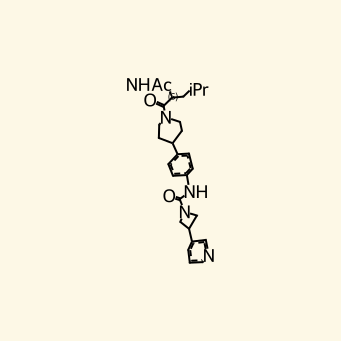 CC(=O)N[C@@H](CC(C)C)C(=O)N1CCC(c2ccc(NC(=O)N3CC(c4cccnc4)C3)cc2)CC1